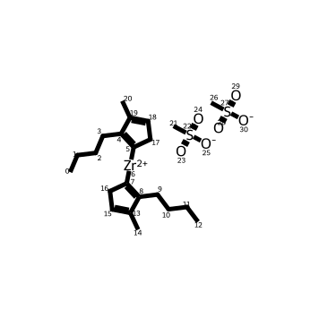 CCCCC1=[C]([Zr+2][C]2=C(CCCC)C(C)=CC2)CC=C1C.CS(=O)(=O)[O-].CS(=O)(=O)[O-]